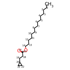 CCCCCCCCCCCCCCCOC(=O)CCC1CC1